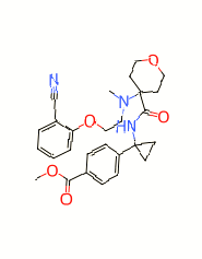 COC(=O)c1ccc(C2(NC(=O)C3(N(C)CCOc4ccccc4C#N)CCOCC3)CC2)cc1